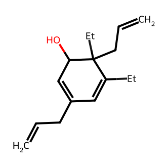 C=CCC1=CC(O)C(CC)(CC=C)C(CC)=C1